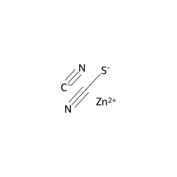 N#C[S-].[C-]#N.[Zn+2]